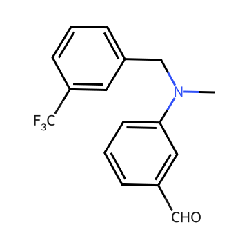 CN(Cc1cccc(C(F)(F)F)c1)c1cccc(C=O)c1